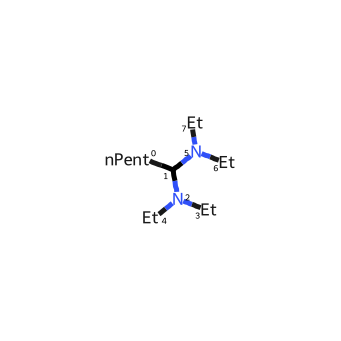 CCCCCC(N(CC)CC)N(CC)CC